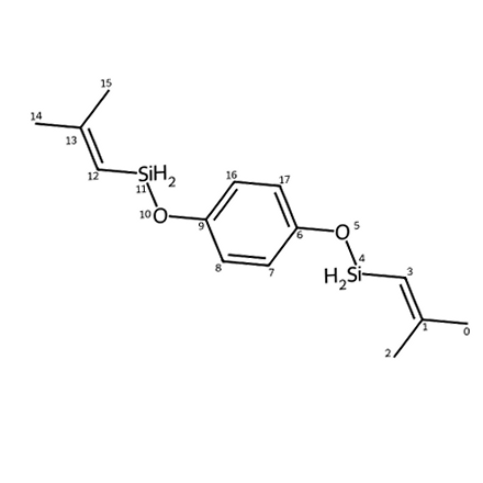 CC(C)=C[SiH2]Oc1ccc(O[SiH2]C=C(C)C)cc1